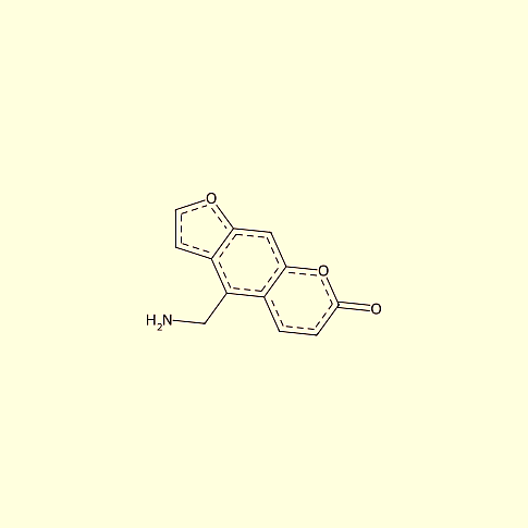 NCc1c2ccoc2cc2oc(=O)ccc12